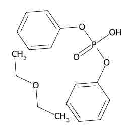 CCOCC.O=P(O)(Oc1ccccc1)Oc1ccccc1